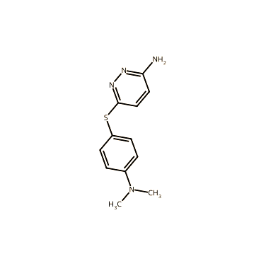 CN(C)c1ccc(Sc2ccc(N)nn2)cc1